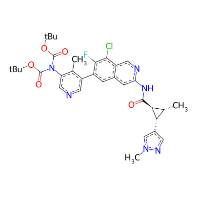 Cc1c(-c2cc3cc(NC(=O)[C@H]4[C@H](C)[C@@H]4c4cnn(C)c4)ncc3c(Cl)c2F)cncc1N(C(=O)OC(C)(C)C)C(=O)OC(C)(C)C